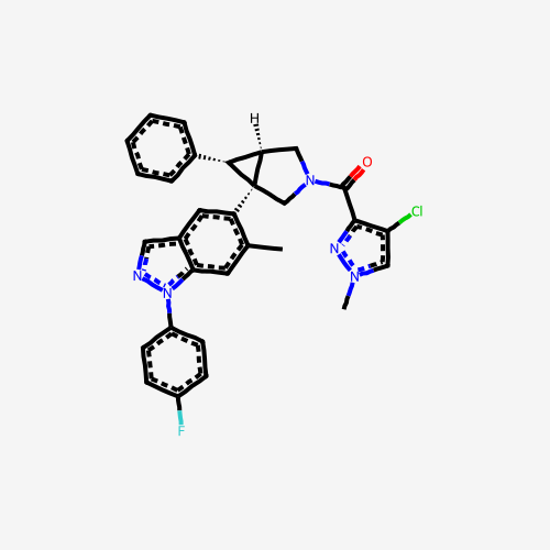 Cc1cc2c(cnn2-c2ccc(F)cc2)cc1[C@@]12CN(C(=O)c3nn(C)cc3Cl)C[C@@H]1[C@H]2c1ccccc1